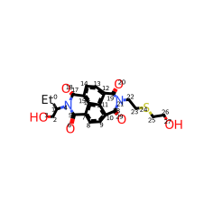 CCC(CO)N1C(=O)c2ccc3c4c(ccc(c24)C1=O)C(=O)N(CCSCCO)C3=O